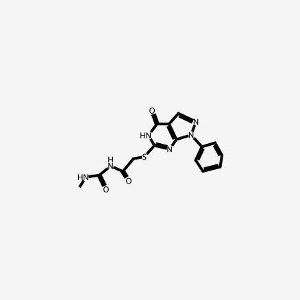 CNC(=O)NC(=O)CSc1nc2c(cnn2-c2ccccc2)c(=O)[nH]1